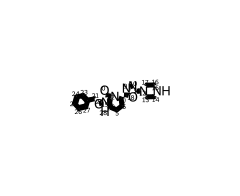 O=C1N2C[C@@H](CC[C@H]2c2nnc(N3CCNCC3)o2)N1OCc1ccccc1